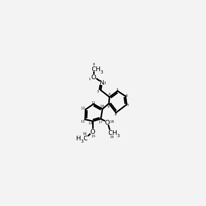 CON=Cc1ccccc1-c1cccc(OC)c1OC